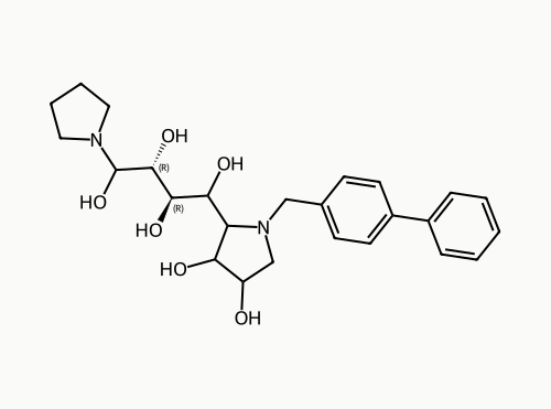 OC1CN(Cc2ccc(-c3ccccc3)cc2)C(C(O)[C@@H](O)[C@@H](O)C(O)N2CCCC2)C1O